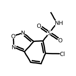 CNS(=O)(=O)c1c(Cl)ccc2nonc12